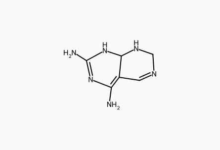 NC1=NC(N)=C2C=NCNC2N1